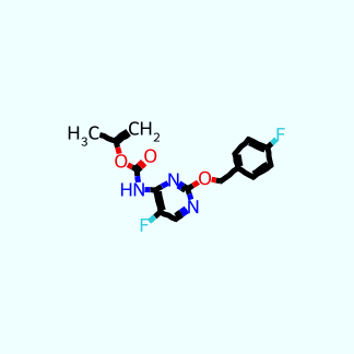 C=C(C)OC(=O)Nc1nc(OCc2ccc(F)cc2)ncc1F